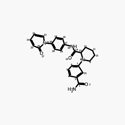 NC(=O)c1cccc(N2CCCCC2C(=O)Nc2ccc(-n3ccccc3=O)cc2)c1